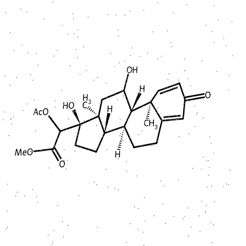 COC(=O)C(OC(C)=O)[C@@]1(O)CC[C@H]2[C@@H]3CCC4=CC(=O)C=C[C@]4(C)[C@H]3C(O)C[C@@]21C